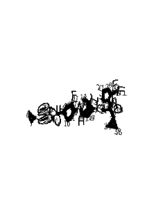 O=C(NS(=O)(=O)C1CC1)c1ccc(N2C[C@@H]3C[C@H]2C[C@H]3OCc2c(-c3ccccc3C(F)(F)F)noc2C2CC2)c(F)c1